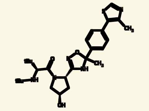 Cc1ncsc1-c1ccc(C2(C)NC([C@@H]3C[C@@H](O)CN3C(=O)[C@@H](NC(C)(C)C)C(C)(C)C)=NO2)cc1